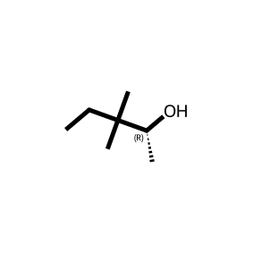 CCC(C)(C)[C@@H](C)O